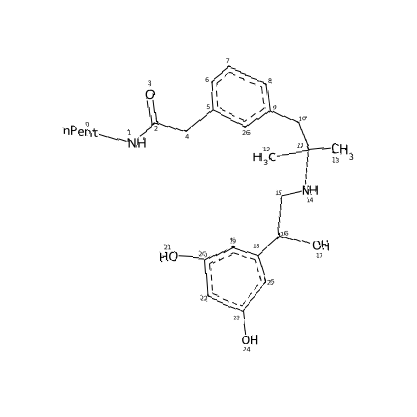 CCCCCNC(=O)Cc1cccc(CC(C)(C)NCC(O)c2cc(O)cc(O)c2)c1